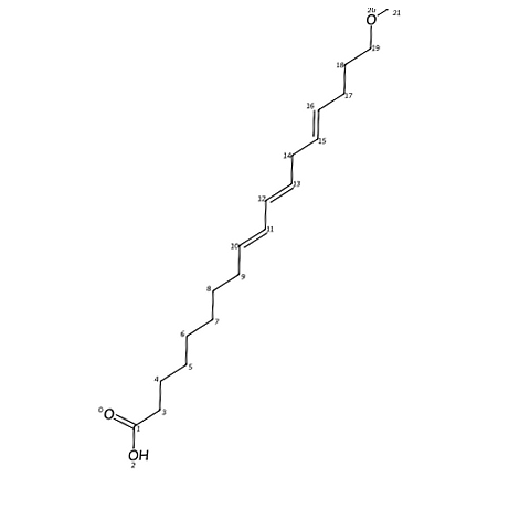 O=C(O)CCCCCCCC=CC=CCC=CCCCOO